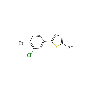 CCc1ccc(-c2ccc(C(C)=O)s2)cc1Cl